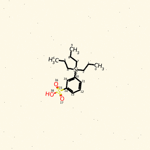 CCC[Si](CCC)(CCC)c1cccc(S(=O)(=O)O)c1